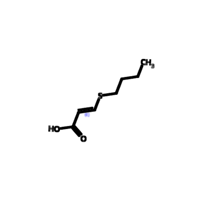 CCCCS/C=C/C(=O)O